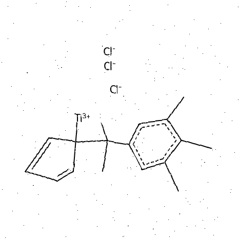 Cc1cc(C(C)(C)[C]2([Ti+3])C=CC=C2)cc(C)c1C.[Cl-].[Cl-].[Cl-]